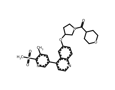 Cc1cc(-c2ccnc3ccc(OC4CCN(C(=O)C5CCOCC5)C4)cc23)cnc1S(C)(=O)=O